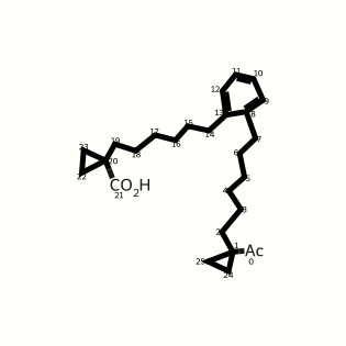 CC(=O)C1(CCCCCCc2ccccc2CCCCCCC2(C(=O)O)CC2)CC1